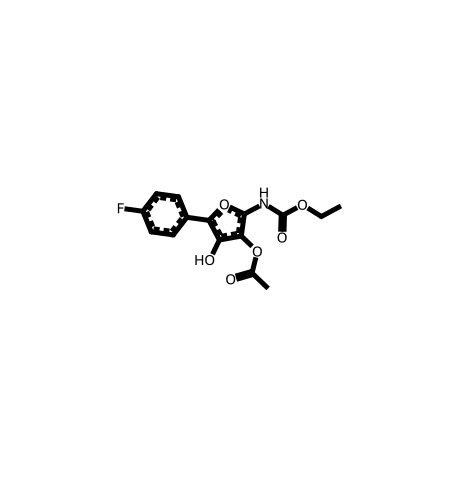 CCOC(=O)Nc1oc(-c2ccc(F)cc2)c(O)c1OC(C)=O